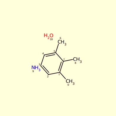 Cc1cccc(C)c1C.N.O